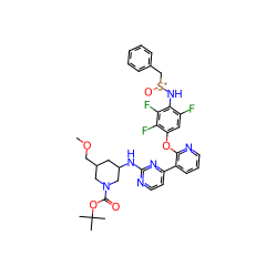 COCC1CC(Nc2nccc(-c3cccnc3Oc3cc(F)c(N[S+]([O-])Cc4ccccc4)c(F)c3F)n2)CN(C(=O)OC(C)(C)C)C1